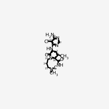 Cc1cc(Nc2ncnc(N)c2Cl)c(=O)n2c1C(=O)NCN(C)CCC2